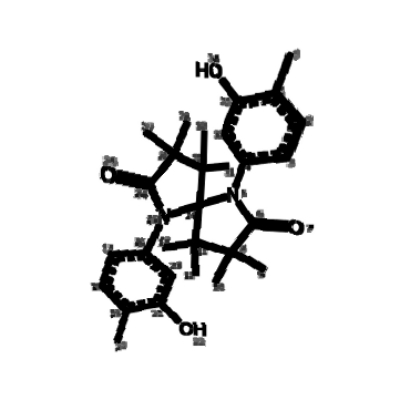 Cc1ccc(N2C(=O)C(C)(C)C(C)(C)C23N(c2ccc(C)c(O)c2)C(=O)C(C)(C)C3(C)C)cc1O